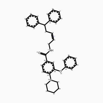 O=C(NC/C=C\CC(c1ccccc1)c1ccccc1)c1ccc(N2CCCCC2)c(Oc2ccccc2)c1